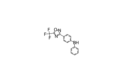 FC(F)(F)c1nc(-c2ccc(Bc3ccccc3)cc2)no1